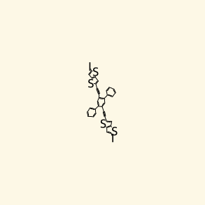 Ic1cc2sc(C#Cc3cc(-c4ccccc4)c(C#Cc4cc5sc(I)cc5s4)cc3-c3ccccc3)cc2s1